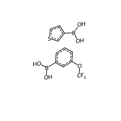 OB(O)c1cccc(OC(F)(F)F)c1.OB(O)c1ccsc1